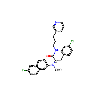 O=CN(c1ccc2cc(F)ccc2c1)[C@@H](Cc1ccc(Cl)cc1)C(=O)NCCCc1cccnc1